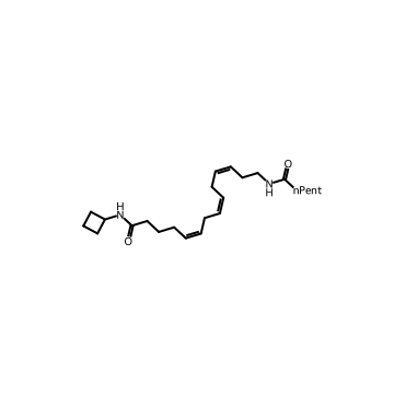 CCCCCC(=O)NCC/C=C\C/C=C\C/C=C\CCCC(=O)NC1CCC1